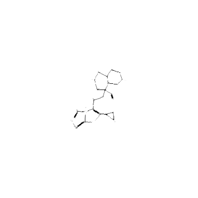 O=CC1(CC(O)c2c(C3CC3)sc3cncn23)CCCC2CCCCC21